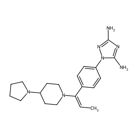 C/C=C(\c1ccc(-n2nc(N)nc2N)cc1)N1CCC(N2CCCC2)CC1